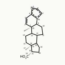 C[C@]12C=Cc3nccn3C1CCC1C2CC[C@@]2(C)C1CC[C@@H]2C(=O)O